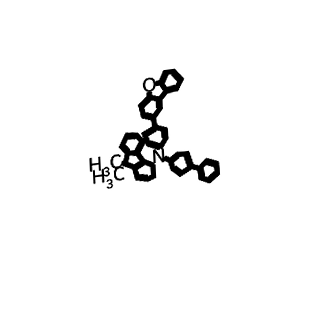 CC1(C)C2=C(c3ccccc31)C(N(c1ccc(-c3ccccc3)cc1)c1ccc(-c3ccc4oc5ccccc5c4c3)cc1)CC=C2